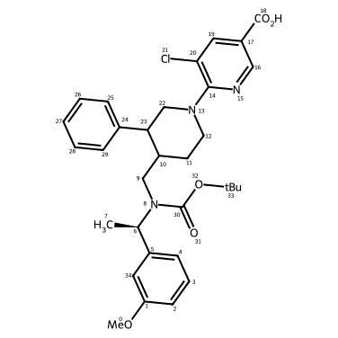 COc1cccc([C@@H](C)N(CC2CCN(c3ncc(C(=O)O)cc3Cl)CC2c2ccccc2)C(=O)OC(C)(C)C)c1